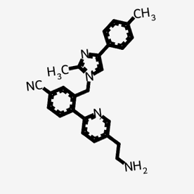 Cc1ccc(-c2cn(Cc3cc(C#N)ccc3-c3ccc(CCN)cn3)c(C)n2)cc1